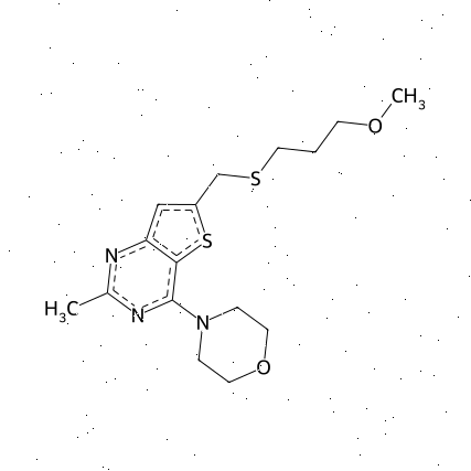 COCCCSCc1cc2nc(C)nc(N3CCOCC3)c2s1